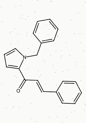 O=C(/C=C/c1ccccc1)c1cccn1Cc1ccccc1